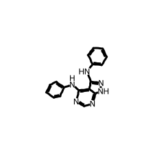 c1ccc(Nc2ncnc3[nH]nc(Nc4ccccc4)c23)cc1